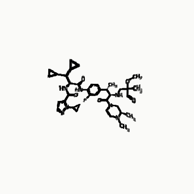 COC(C)(C=O)CN[C@@H](C(=O)N1CCN(C)[C@H](C)C1)[C@@H](C)c1ccc(NC(=O)[C@@H](NC(=O)c2ccnn2C2CC2)C(C2CC2)C2CC2)c(F)c1